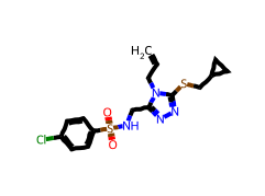 C=CCn1c(CNS(=O)(=O)c2ccc(Cl)cc2)nnc1SCC1CC1